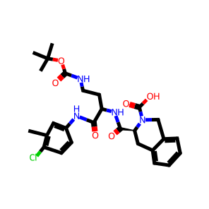 Cc1cc(NC(=O)C(CCNC(=O)OC(C)(C)C)NC(=O)[C@@H]2Cc3ccccc3CN2C(=O)O)ccc1Cl